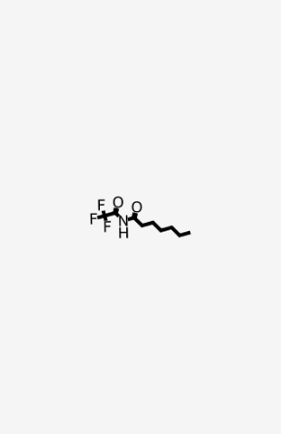 CCCCCCC(=O)NC(=O)C(F)(F)F